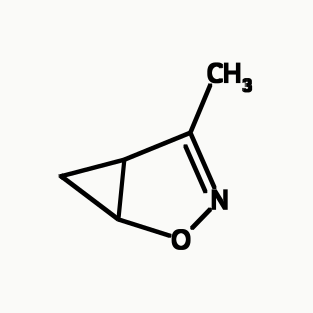 CC1=NOC2CC12